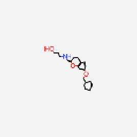 OCCCNCC1CCc2ccc(OCC3CCCCC3)cc2O1